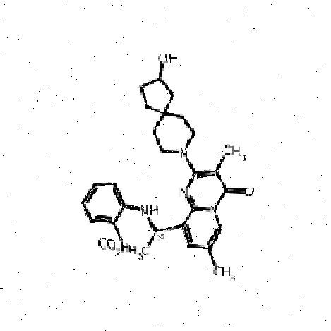 Cc1cc([C@@H](C)Nc2ccccc2C(=O)O)c2nc(N3CCC4(CCC(O)C4)CC3)c(C)c(=O)n2c1